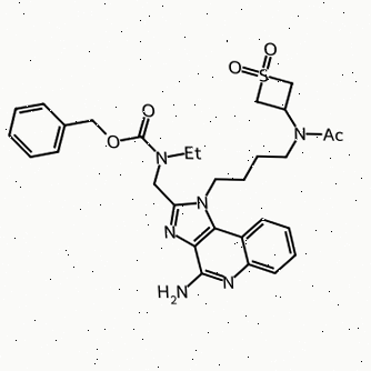 CCN(Cc1nc2c(N)nc3ccccc3c2n1CCCCN(C(C)=O)C1CS(=O)(=O)C1)C(=O)OCc1ccccc1